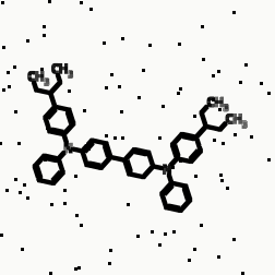 CCC(CC)c1ccc(N(c2ccccc2)c2ccc(C3=CCC(N(c4ccccc4)c4ccc(C(CC)CC)cc4)C=C3)cc2)cc1